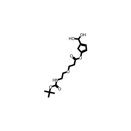 CC(C)(C)OC(=O)NCCOCCC(=O)OC1=CC=C(C(O)O)C1